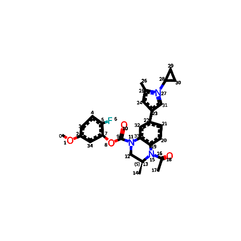 COc1ccc(F)c(OC(=O)N2C[C@H](C)N(C(C)=O)c3ccc(-c4cc(C)n(C5CC5)c4)cc32)c1